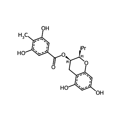 Cc1c(O)cc(C(=O)O[C@@H]2Cc3c(O)cc(O)cc3O[C@@H]2C(C)C)cc1O